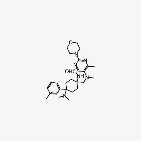 Cc1cccc([C@]2(N(C)C)CC[C@@](CN(C)c3cnc(N4CCOCC4)nc3C)(NC=O)CC2)c1